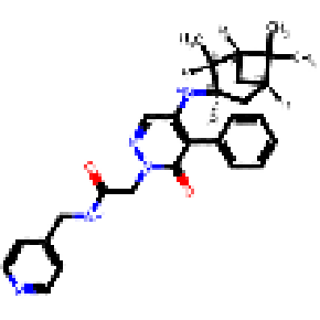 C[C@@H]1[C@H]2C[C@@H](C[C@H]1Nc1cnn(CC(=O)NCc3ccncc3)c(=O)c1-c1ccccc1)C2(C)C